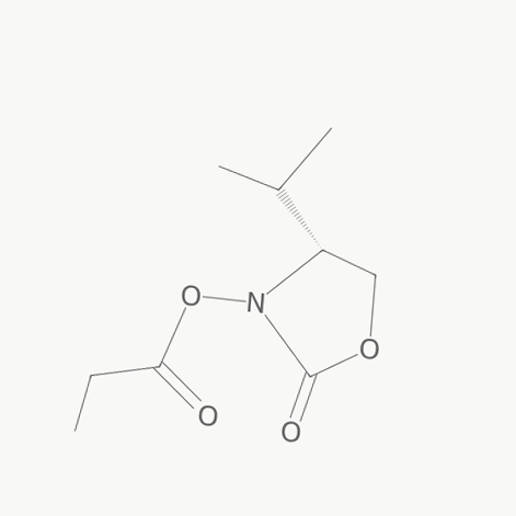 CCC(=O)ON1C(=O)OC[C@H]1C(C)C